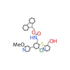 COc1cc(-c2cc(Cl)c(Sc3ncccc3CO)c(CNC(=O)OCC3c4ccccc4-c4ccccc43)c2)ccn1